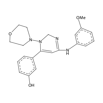 COc1cccc(NC2=NCN(N3CCOCC3)C(c3cccc(O)c3)=C2)c1